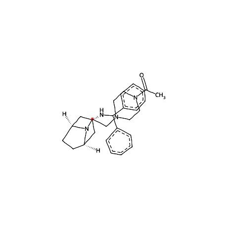 CC(=O)N1CCN(CCN2[C@@H]3CC[C@H]2C[C@H](NC(c2ccccc2)c2ccccc2)C3)CC1